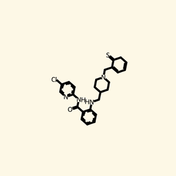 O=C(Nc1ccc(Cl)cn1)c1ccccc1NCC1CCN(CC2=CC=CCC2=S)CC1